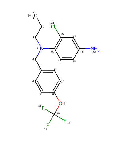 CCCN(Cc1ccc(OC(F)(F)F)cc1)c1ccc(N)cc1Cl